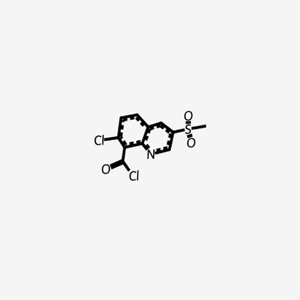 CS(=O)(=O)c1cnc2c(C(=O)Cl)c(Cl)ccc2c1